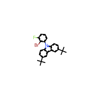 CC(C)(C)c1ccc2c(c1)c1cc(C(C)(C)C)ccc1n2-c1cccc(F)c1Br